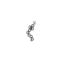 CCC(C)(CC)c1ccc(S(=O)(=O)c2ccc(Oc3ccc4cc(OC(C)C)ccc4c3)cc2)cc1